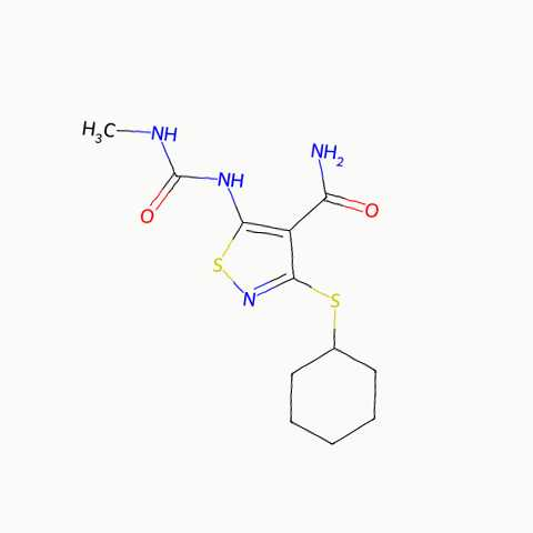 CNC(=O)Nc1snc(SC2CCCCC2)c1C(N)=O